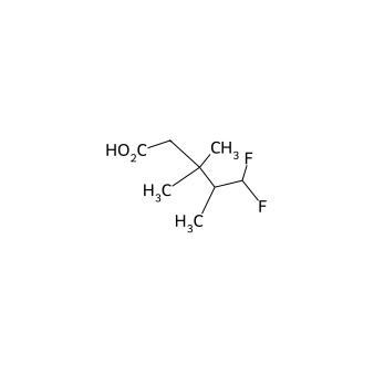 CC(C(F)F)C(C)(C)CC(=O)O